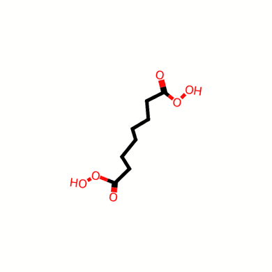 O=C(CCCCCCC(=O)OO)OO